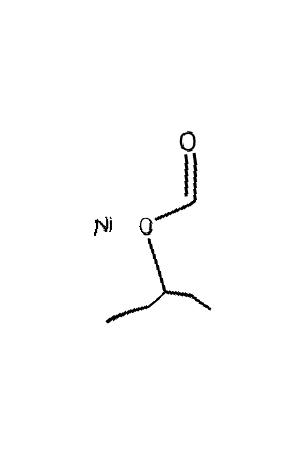 CC(C)OC=O.[Ni]